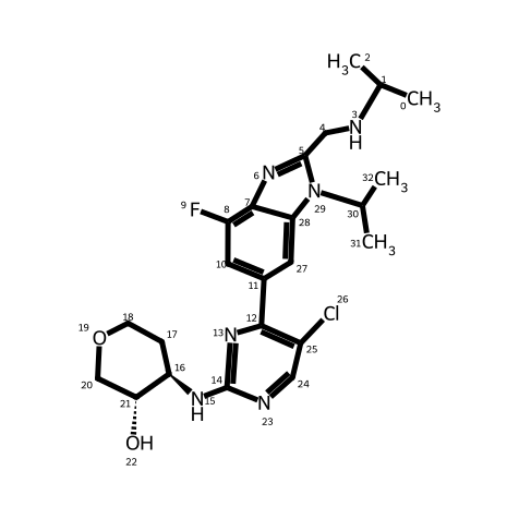 CC(C)NCc1nc2c(F)cc(-c3nc(N[C@@H]4CCOC[C@H]4O)ncc3Cl)cc2n1C(C)C